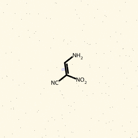 N#C/C(=C/N)[N+](=O)[O-]